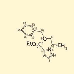 CCOC(=O)c1ccnn1C(C)COCc1ccccc1